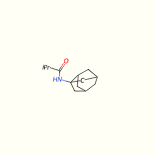 CC(C)C(=O)NC12CC3CC(CC1C3)C2